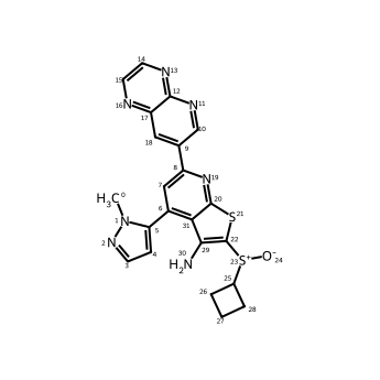 Cn1nccc1-c1cc(-c2cnc3nccnc3c2)nc2sc([S+]([O-])C3CCC3)c(N)c12